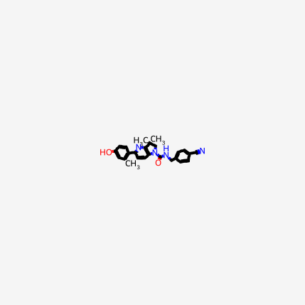 Cc1cc(O)ccc1-c1ccc2c(n1)C(C)(C)CN2C(=O)NCc1ccc(C#N)cc1